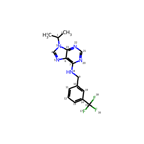 CC(C)n1cnc2c(NCc3cccc(C(F)(F)F)c3)ncnc21